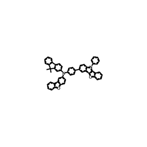 CC1(C)c2ccccc2-c2ccc(N(c3ccc(-c4ccc5c(c4)c4oc6ccccc6c4n5-c4ccccc4)cc3)c3ccc4oc5ccccc5c4c3)cc21